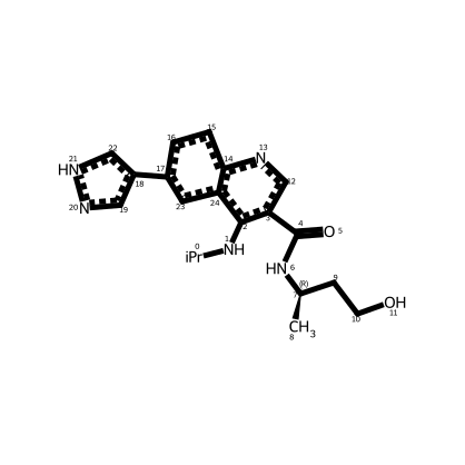 CC(C)Nc1c(C(=O)N[C@H](C)CCO)cnc2ccc(-c3cn[nH]c3)cc12